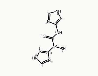 O=C(Nc1nc[nH]n1)N(S)c1nc[nH]n1